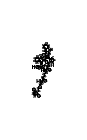 CN1/C(=C/C2=C(N3CCC[C@@H]3C(=O)N[C@@H](CSOOO)C(=O)NCCCCC(=O)NCCOCCN3C(=O)C=CC3=O)C(=C/C3=[N+](C)c4ccccc4C3(C)C)/C2=O)C(C)(C)c2ccccc21